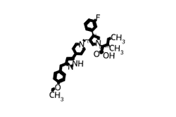 CCOc1ccc(Cc2cc(C3CCN(C[C@H]4CN([C@@H](C(=O)O)[C@@H](C)CC)C[C@@H]4c4cccc(F)c4)CC3)[nH]n2)cc1